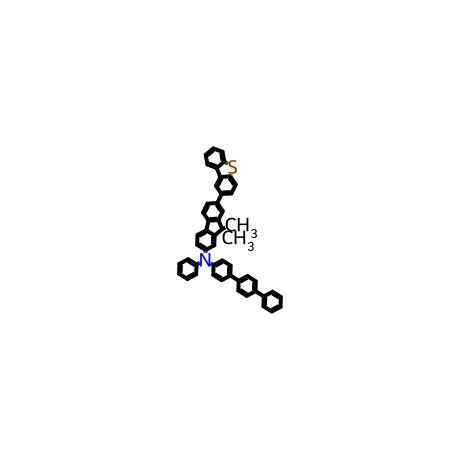 CC1(C)c2cc(-c3ccc4sc5ccccc5c4c3)ccc2-c2ccc(N(c3ccccc3)c3ccc(-c4ccc(-c5ccccc5)cc4)cc3)cc21